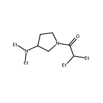 CCC(CC)C(=O)N1CCC(N(CC)CC)C1